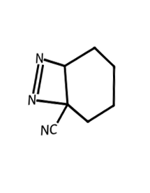 N#CC12CCCCC1N=N2